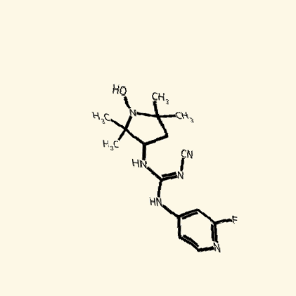 CC1(C)CC(NC(=NC#N)Nc2ccnc(F)c2)C(C)(C)N1O